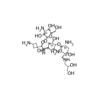 NC1CC(O)(C(=O)N[C@@H]2C[C@H](N)C(O[C@H]3O[C@H](CNCC(O)CO)[C@@H](O)C[C@H]3N)[C@H](O)[C@H]2O[C@H]2O[C@H](CO)[C@@H](O)[C@H](N)[C@H]2O)C1